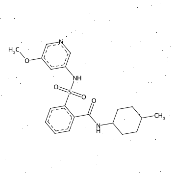 COc1cncc(NS(=O)(=O)c2ccccc2C(=O)NC2CCC(C)CC2)c1